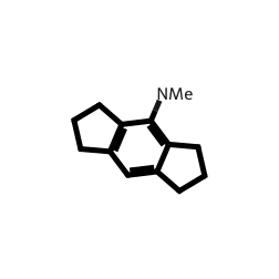 CNc1c2c(cc3c1CCC3)CCC2